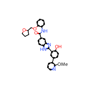 COc1ncccc1-c1ccc(O)c(-c2nc3cc(C(=O)Nc4ccccc4OCC4CCCO4)ccc3[nH]2)c1